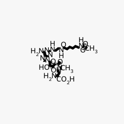 CN(CC[C@H](N)C(=O)O)C(=O)[C@H]1O[C@@H](n2cnc3c(N)nc(NCCNC(=O)CCCCCNS(C)(=O)=O)nc32)[C@H](O)[C@@H]1O